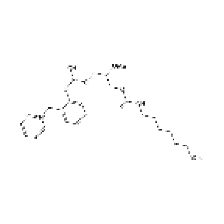 CCCCCCCCCCCCCCCCNC(=O)OCC(COP(O)Oc1ccccc1C[n+]1ccccc1)OC